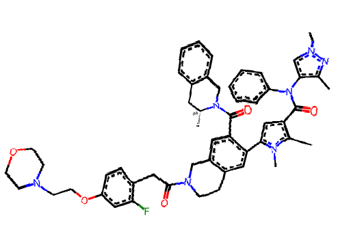 Cc1nn(C)cc1N(C(=O)c1cc(-c2cc3c(cc2C(=O)N2Cc4ccccc4C[C@H]2C)CN(C(=O)Cc2ccc(OCCN4CCOCC4)cc2F)CC3)n(C)c1C)c1ccccc1